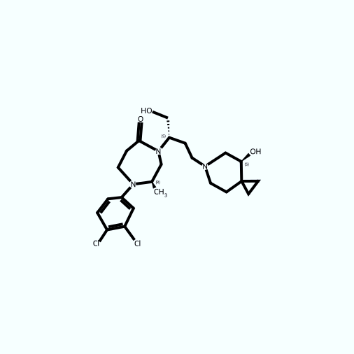 C[C@@H]1CN([C@H](CO)CCN2CCC3(CC3)[C@H](O)C2)C(=O)CCN1c1ccc(Cl)c(Cl)c1